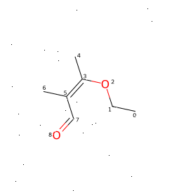 CCOC(C)=C(C)C=O